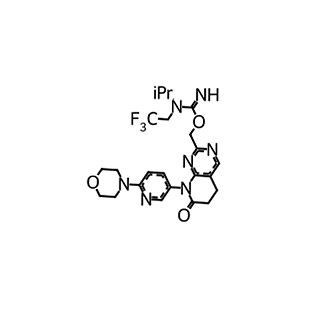 CC(C)N(CC(F)(F)F)C(=N)OCc1ncc2c(n1)N(c1ccc(N3CCOCC3)nc1)C(=O)CC2